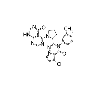 Cc1cccc(-n2c(C3CCCN3c3ncnc4[nH]cnc(=O)c34)nn3ccc(Cl)c3c2=O)c1